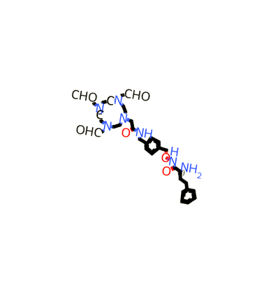 N[C@H](CCc1ccccc1)C(=O)NOCc1ccc(CNC(=O)CN2CCN(CC=O)CCN(CC=O)CCN(CC=O)CC2)cc1